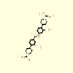 Cc1cc(NC(=O)c2ccc(C3=CCN(C(=N)N)CC3)c(C)c2)ccc1C1=CCN(C(=N)N)CC1